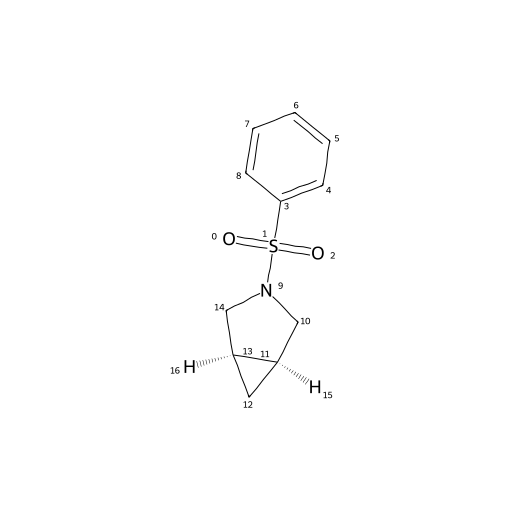 O=S(=O)(c1ccccc1)N1C[C@H]2C[C@H]2C1